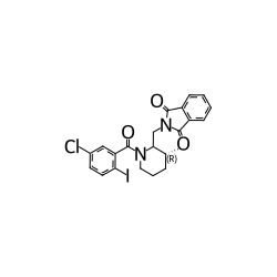 C[C@@H]1CCCN(C(=O)c2cc(Cl)ccc2I)C1CN1C(=O)c2ccccc2C1=O